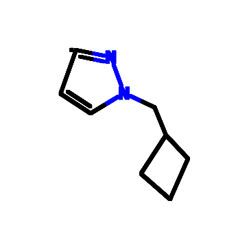 [c]1ccn(CC2CCC2)n1